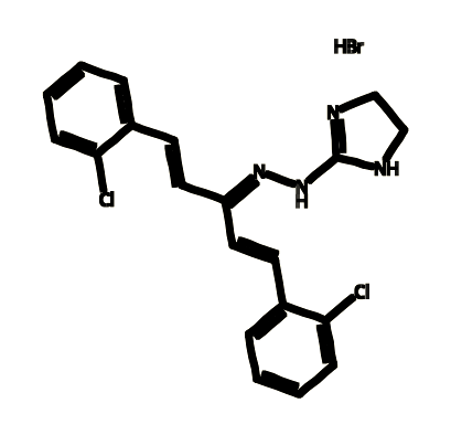 Br.Clc1ccccc1/C=C/C(/C=C/c1ccccc1Cl)=NNC1=NCCN1